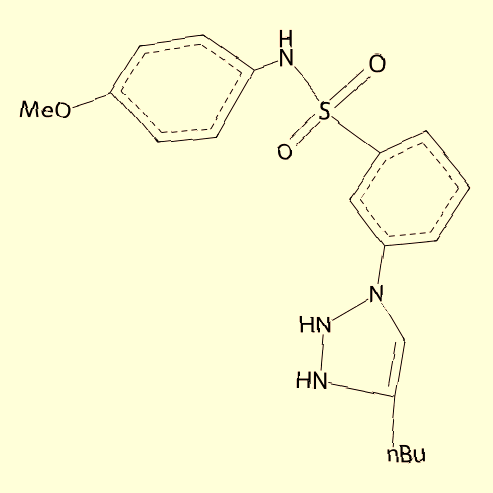 CCCCC1=CN(c2cccc(S(=O)(=O)Nc3ccc(OC)cc3)c2)NN1